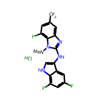 CNn1c(Nc2c[nH]c3c(F)cc(F)cc23)nc2cc(C(F)(F)F)cc(F)c21.Cl